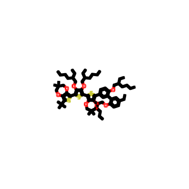 CCCCC(C)COc1ccc(CC)cc1-c1cc(-c2sc(-c3sc(-c4sc(C(C)(C)C)c5c4OCC(C)(C)CO5)c(OCC(CC)CCCC)c3OCC(CC)CCCC)c3c2OCC(C)(C)CO3)ccc1OCC(CC)CCCC